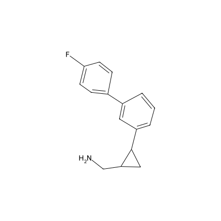 NCC1CC1c1cccc(-c2ccc(F)cc2)c1